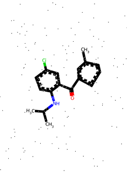 Cc1cccc(C(=O)c2cc(Cl)ccc2NC(C)C)c1